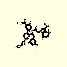 NC(=O)c1cc(-c2cnc(NCCO)nc2C(Cc2cc(F)cc(F)c2)NC(=O)Cn2nc(C(F)F)c3c2C(F)(F)CCC3(F)F)ccc1F